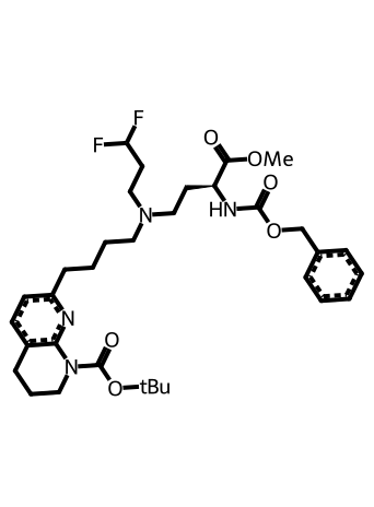 COC(=O)[C@H](CCN(CCCCc1ccc2c(n1)N(C(=O)OC(C)(C)C)CCC2)CCC(F)F)NC(=O)OCc1ccccc1